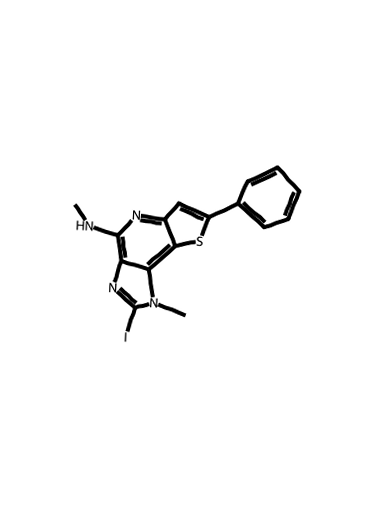 CNc1nc2cc(-c3ccccc3)sc2c2c1nc(I)n2C